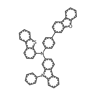 c1ccc(-n2c3ccccc3c3ccc(N(c4ccc(-c5ccc6c(c5)oc5ccccc56)cc4)c4cccc5c4sc4ccccc45)cc32)cc1